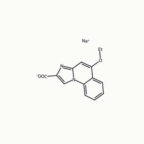 CCOc1cc2nc(C(=O)[O-])cn2c2ccccc12.[Na+]